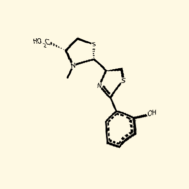 CN1[C@@H]([C@H]2CSC(c3ccccc3O)=N2)SC[C@H]1C(=O)O